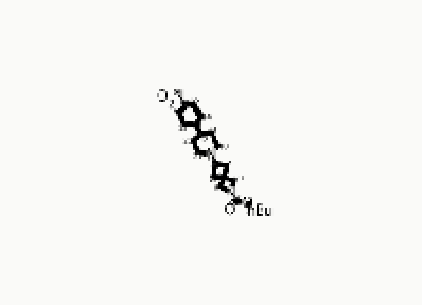 CCCCOC(=O)N1CC2(CC(N3CCC(c4ccc([N+](=O)[O-])cc4)CC3)C2)C1